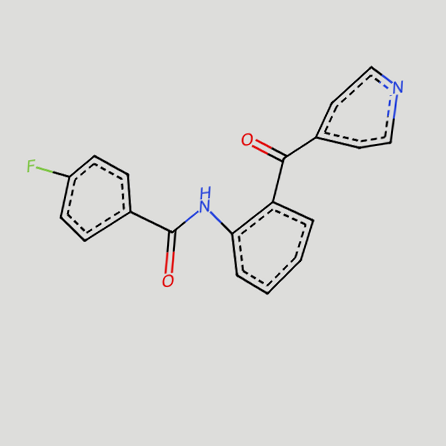 O=C(Nc1ccccc1C(=O)c1ccncc1)c1ccc(F)cc1